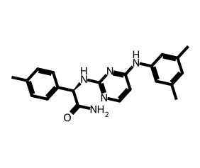 Cc1ccc([C@@H](Nc2nccc(Nc3cc(C)cc(C)c3)n2)C(N)=O)cc1